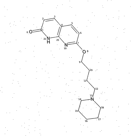 O=c1ccc2ccc(OCCCCN3CCCCC3)nc2[nH]1